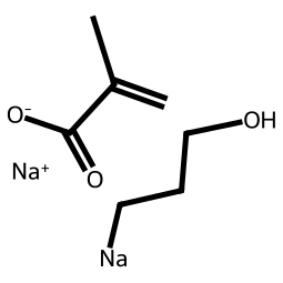 C=C(C)C(=O)[O-].OCC[CH2][Na].[Na+]